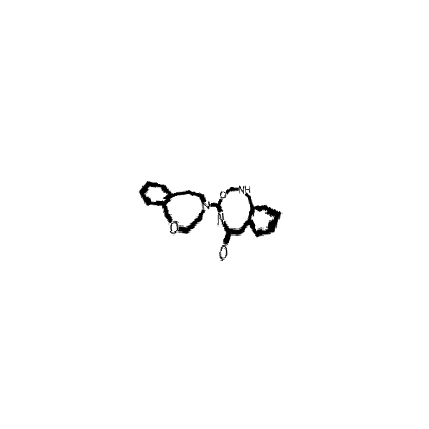 O=C1Cc2ccccc2CNCO/C(N2CCOCc3ccccc3CC2)=N\1